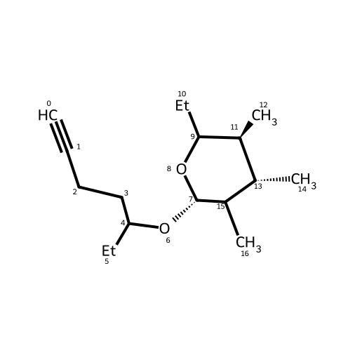 C#CCCC(CC)O[C@@H]1OC(CC)[C@@H](C)[C@H](C)C1C